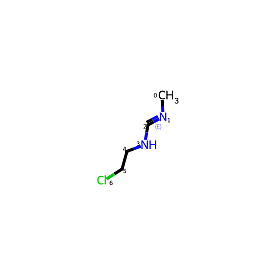 C/N=C/NCCCl